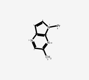 Cc1cnc2ccn(C(C)C)c2n1